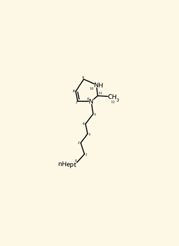 CCCCCCCCCCCCN1C=CCNC1C